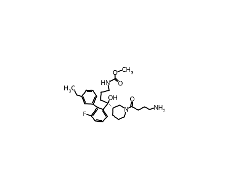 CCc1cccc(-c2c(F)cccc2C(O)(CCCNC(=O)OC)[C@H]2CCCN(C(=O)CCCN)C2)c1